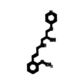 COc1ccccc1C=CCNCC(O)COc1ccncc1